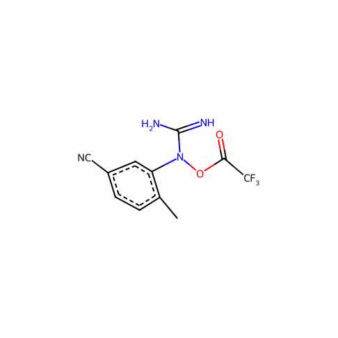 Cc1ccc(C#N)cc1N(OC(=O)C(F)(F)F)C(=N)N